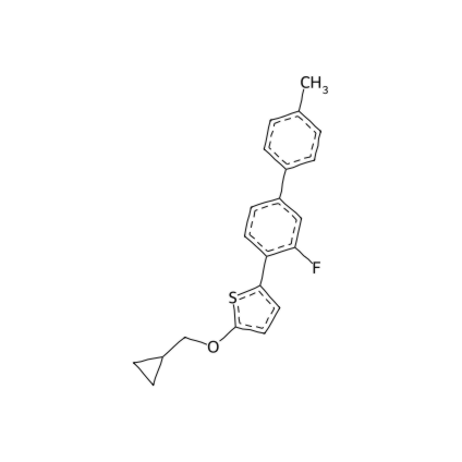 Cc1ccc(-c2ccc(-c3ccc(OCC4CC4)s3)c(F)c2)cc1